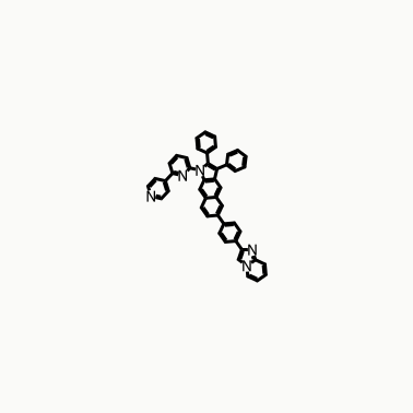 c1ccc(-c2c(-c3ccccc3)n(-c3cccc(-c4ccncc4)n3)c3cc4ccc(-c5ccc(-c6cn7ccccc7n6)cc5)cc4cc23)cc1